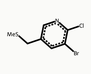 CSCc1cnc(Cl)c(Br)c1